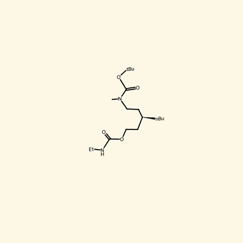 CCCC[C@@H](CCOC(=O)NCC)CCN(C)C(=O)OC(C)(C)C